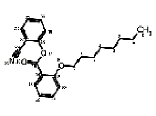 CCCCCCCCOc1ccccc1C(=O)Oc1ccccc1C#N